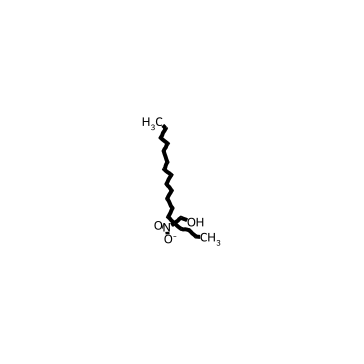 CCCCCCCCCCCCCC(CO)(CCCC)[N+](=O)[O-]